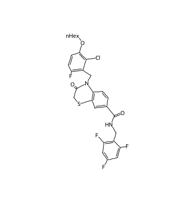 CCCCCCOc1ccc(F)c(CN2C(=O)CSc3cc(C(=O)NCc4c(F)cc(F)cc4F)ccc32)c1Cl